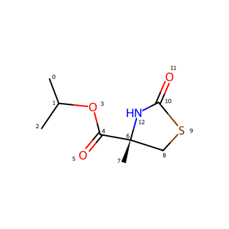 CC(C)OC(=O)[C@@]1(C)CSC(=O)N1